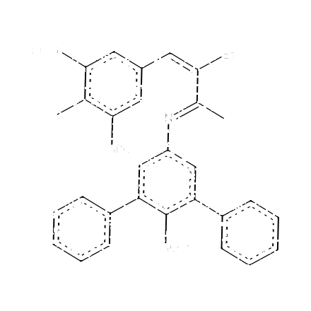 CCCCCCCCc1cc(C=C(CC)C(C)=Nc2cc(-c3ccccc3)c(CCCCCCCC)c(-c3ccccc3)c2)cc(CCCC)c1C